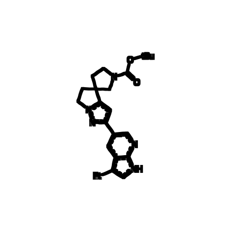 CCc1c[nH]c2ncc(-c3cc4n(n3)CCC43CCN(C(=O)OC(C)(C)C)C3)cc12